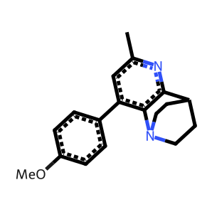 COc1ccc(-c2cc(C)nc3c2N2CCC3CC2)cc1